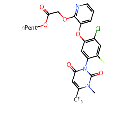 CCCCCOC(=O)COc1ncccc1Oc1cc(-n2c(=O)cc(C(F)(F)F)n(C)c2=O)c(F)cc1Cl